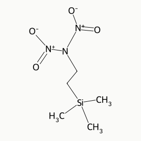 C[Si](C)(C)CCN([N+](=O)[O-])[N+](=O)[O-]